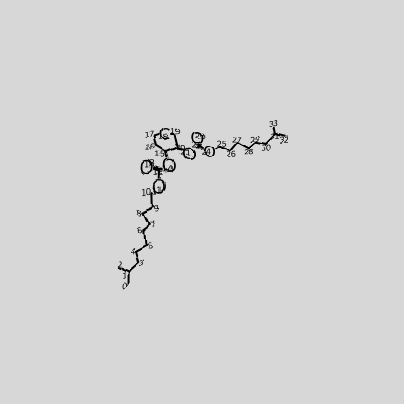 CC(C)CCCCCCCCOC(=O)OC1CCCCC1OC(=O)OCCCCCCC(C)C